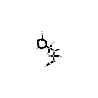 CN(S(=O)(=O)N=C=O)S(=O)(=O)c1cccc(Cl)c1